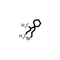 CCCC(C)C1(CCCBr)CCCCC1